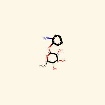 Nc1ccccc1O[C@@H]1O[C@H](C(=O)O)[C@@H](O)[C@H](O)[C@H]1O